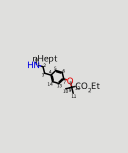 CCCCCCCNCCc1ccc(OC(C)(C)C(=O)OCC)cc1